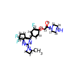 C[C@H]1CCN1c1nc(-c2ccc(OCC(=O)N3CCNCC3)c(F)c2)c2c(n1)C(F)(F)CC2